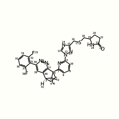 CC1(C)[C@H]2CC[C@@]1(c1cccc(-n3cnc(CSCC4CCC(=O)N4)n3)n1)c1nnc(-c3c(F)cccc3F)cc12